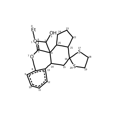 CCOC(O)C12C(=O)Oc3ccccc3C1CC1(SCCS1)C1CCCC12